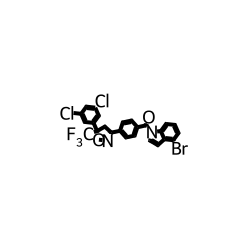 O=C(c1ccc(C2=NOC(c3cc(Cl)cc(Cl)c3)(C(F)(F)F)C2)cc1)n1ccc2c(Br)cccc21